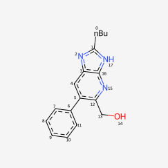 CCCCc1nc2cc(-c3ccccc3)c(CO)nc2[nH]1